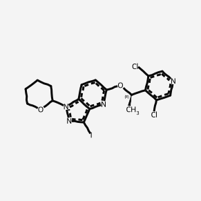 C[C@@H](Oc1ccc2c(n1)c(I)nn2C1CCCCO1)c1c(Cl)cncc1Cl